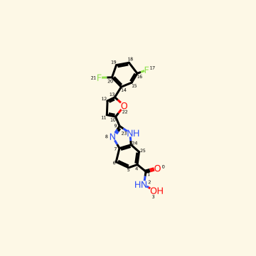 O=C(NO)c1ccc2nc(-c3ccc(-c4cc(F)ccc4F)o3)[nH]c2c1